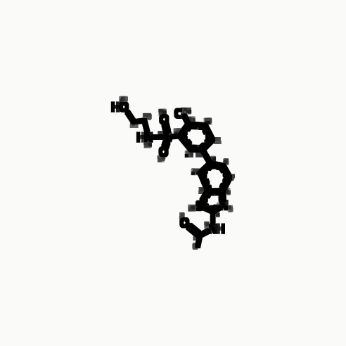 CC(=O)Nc1nc2ccc(-c3ccc(Cl)c(S(=O)(=O)NCCO)c3)cc2s1